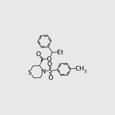 CCC(OC(=O)[C@@H]1CSCCN1S(=O)(=O)c1ccc(C)cc1)c1ccccc1